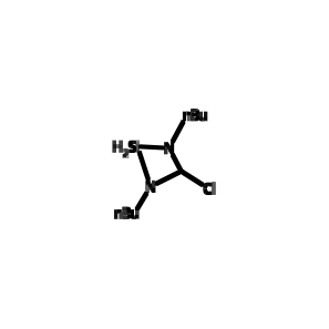 CCCCN1[SiH2]N(CCCC)C1Cl